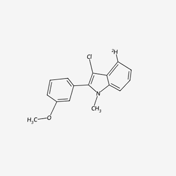 [2H]c1cccc2c1c(Cl)c(-c1cccc(OC)c1)n2C